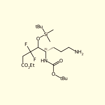 CCOC(=O)CC(F)(F)C(O[Si](C)(C)C(C)(C)C)[C@H](CCCN)NC(=O)OC(C)(C)C